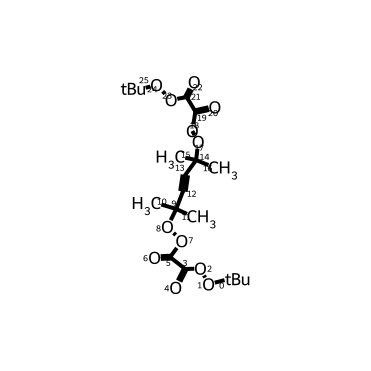 CC(C)(C)OOC(=O)C(=O)OOC(C)(C)C#CC(C)(C)OOC(=O)C(=O)OOC(C)(C)C